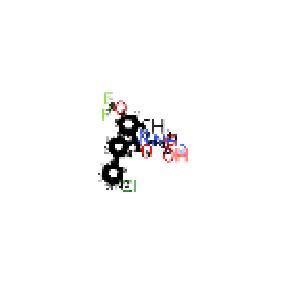 Cc1cc(OC(F)F)ccc1C1(c2cccc(-c3cccc(Cl)c3)c2)COC(N)=N1.O=CO